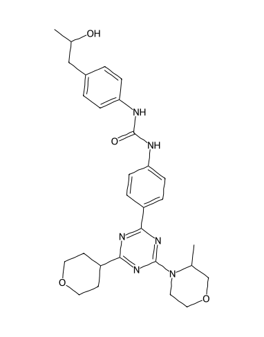 CC(O)Cc1ccc(NC(=O)Nc2ccc(-c3nc(C4CCOCC4)nc(N4CCOCC4C)n3)cc2)cc1